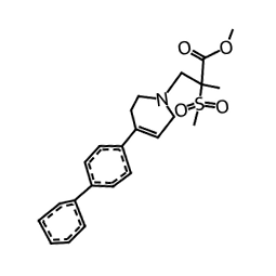 COC(=O)C(C)(CN1CC=C(c2ccc(-c3ccccc3)cc2)CC1)S(C)(=O)=O